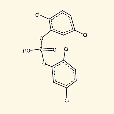 O=P(O)(Oc1cc(Cl)ccc1Cl)Oc1cc(Cl)ccc1Cl